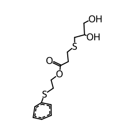 O=C(CCSCC(O)CO)OCCSc1ccccc1